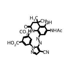 CC(=O)Nc1cc(N=Nc2c(C#N)cnn2-c2cc(C(=O)O)cc(C(=O)O)c2)c2c(c1O)C(C)(C)CC(=O)N2